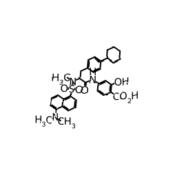 CN(C)c1cccc2c(S(=O)(=O)N(C)C(Cc3ccc(C4CCCCC4)cc3)C(=O)Nc3ccc(C(=O)O)c(O)c3)cccc12